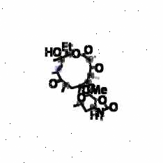 CC[C@H]1OC(=O)[C@H](C)C(=O)[C@H](C)[C@@H](OC2O[C@H](C)C[C@H]3C2OC(=O)N3C)[C@](C)(OC)C[C@@H](C)C(=O)/C(C)=C/[C@]1(C)O